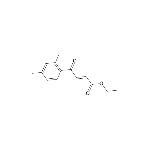 CCOC(=O)C=CC(=O)c1ccc(C)cc1C